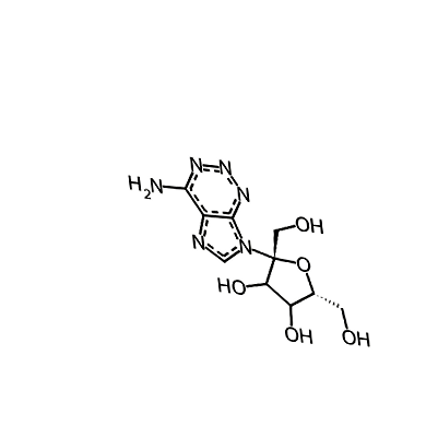 Nc1nnnc2c1ncn2[C@]1(CO)O[C@H](CO)C(O)C1O